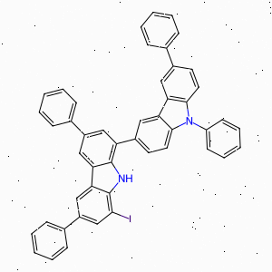 Ic1cc(-c2ccccc2)cc2c1[nH]c1c(-c3ccc4c(c3)c3cc(-c5ccccc5)ccc3n4-c3ccccc3)cc(-c3ccccc3)cc12